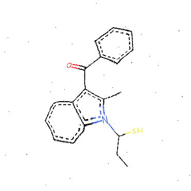 CCC(S)n1c(C)c(C(=O)c2ccccc2)c2ccccc21